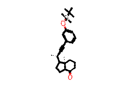 C[C@H](C#Cc1cccc(O[Si](C)(C)C(C)(C)C)c1)C1CCC2C(=O)CCC[C@@]21C